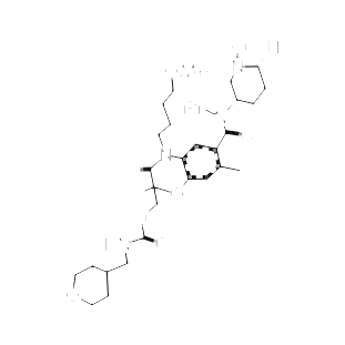 COCCCCN1C(=O)C(C)(COC(=O)NCC2CCOCC2)Oc2cc(C)c(C(=O)N(C(C)C)[C@@H]3CCCN(C(=O)O)C3)cc21